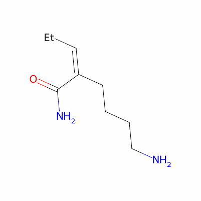 CCC=C(CCCCN)C(N)=O